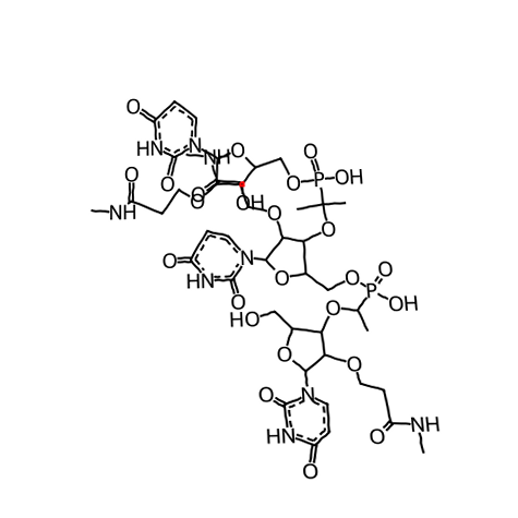 CNC(=O)CCOC1C(O)C(COP(=O)(O)C(C)(C)OC2C(COP(=O)(O)C(C)OC3C(CO)OC(n4ccc(=O)[nH]c4=O)C3OCCC(=O)NC)OC(n3ccc(=O)[nH]c3=O)C2OCCC(=O)NC)OC1n1ccc(=O)[nH]c1=O